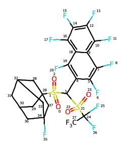 O=S(=O)(C(c1c(F)c(F)c2c(F)c(F)c(F)c(F)c2c1F)S(=O)(=O)C(F)(F)C(F)(F)F)C12CC3CC(CC(F)(C3)C1)C2